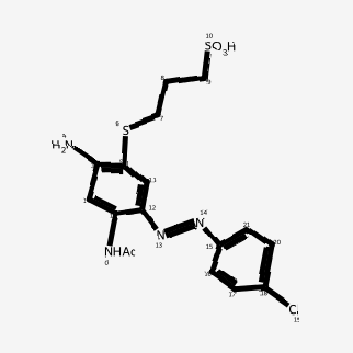 CC(=O)Nc1cc(N)c(SCCCS(=O)(=O)O)cc1N=Nc1ccc(Cl)cc1